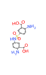 Nc1ccc(NS(=O)(=O)c2ccc(N)c(C(=O)O)c2)cc1C(=O)O